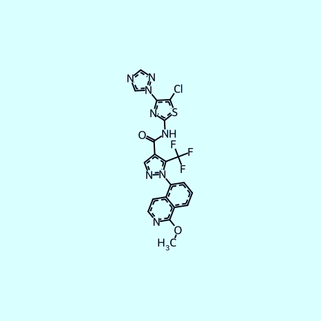 COc1nccc2c(-n3ncc(C(=O)Nc4nc(-n5cncn5)c(Cl)s4)c3C(F)(F)F)cccc12